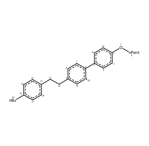 CCCCCOc1ccc(-c2ccc(CCc3ccc(CCCC)cc3)cn2)cc1